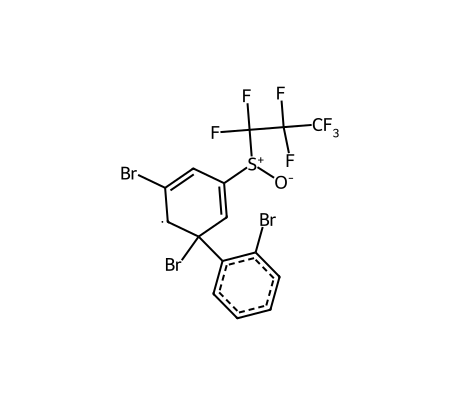 [O-][S+](C1=CC(Br)(c2ccccc2Br)[CH]C(Br)=C1)C(F)(F)C(F)(F)C(F)(F)F